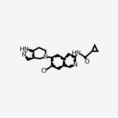 O=C(Nc1cc2cc(N3CCc4[nH]ncc4C3)c(Cl)cc2cn1)C1CC1